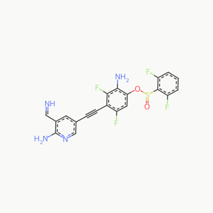 N=Cc1cc(C#Cc2c(F)cc(OS(=O)c3c(F)cccc3F)c(N)c2F)cnc1N